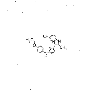 CCOc1ccc(Nc2nc(-c3c(C)nc4ccc(Cl)cn34)cs2)cc1